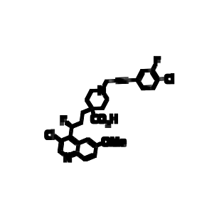 COc1ccc2ncc(Cl)c([C@@H](F)CCC3(C(=O)O)CCN(CC#Cc4ccc(Cl)c(F)c4)CC3)c2c1